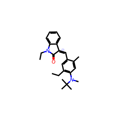 CCc1cc(/C=C2\C(=O)N(CC)c3ccccc32)c(C)cc1N(C)C(C)(C)C